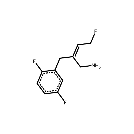 NC/C(=C\CF)Cc1cc(F)ccc1F